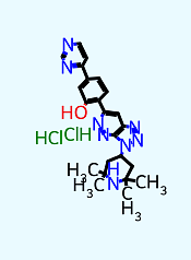 CC1(C)CC(n2nnc3cc(-c4ccc(-c5ccncn5)cc4O)nnc32)CC(C)(C)N1.Cl.Cl